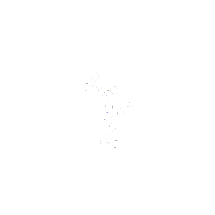 N#Cc1ccc(-n2c3ccccc3c3cc(-n4c5ccccc5c5ccccc54)ccc32)c(-c2cc(-n3c4ccccc4c4cc(-n5c6ccccc6c6ccccc65)ccc43)ccn2)c1